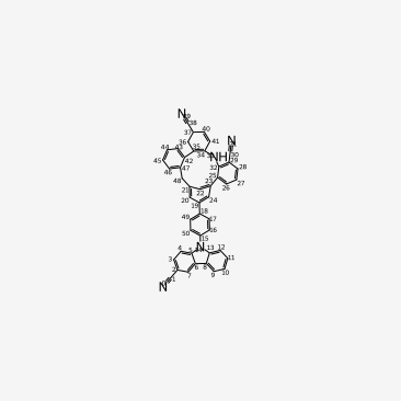 N#Cc1ccc2c(c1)c1ccccc1n2-c1ccc(-c2cc3cc(c2)-c2cccc(C#N)c2NC2=C(CC(C#N)C=C2)c2ccccc2C3)cc1